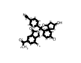 CC(=O)c1cc(F)c2c(c1)C(=O)N(C(OC1CCC(O)C1)(c1ccc(Cl)cc1)c1ccc(C#N)cn1)C2